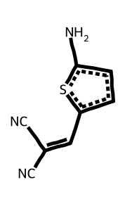 N#CC(C#N)=Cc1ccc(N)s1